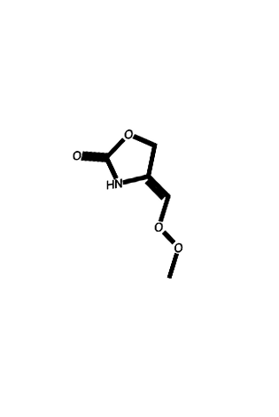 COO/C=C1/COC(=O)N1